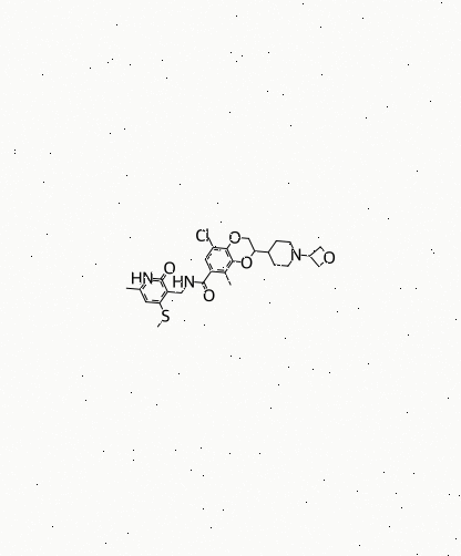 CSc1cc(C)[nH]c(=O)c1CNC(=O)c1cc(Cl)c2c(c1C)OC(C1CCN(C3COC3)CC1)CO2